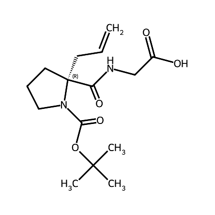 C=CC[C@@]1(C(=O)NCC(=O)O)CCCN1C(=O)OC(C)(C)C